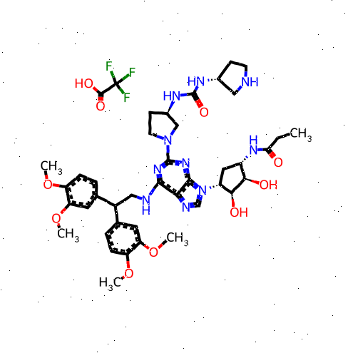 CCC(=O)N[C@H]1C[C@@H](n2cnc3c(NCC(c4ccc(OC)c(OC)c4)c4ccc(OC)c(OC)c4)nc(N4CC[C@@H](NC(=O)N[C@@H]5CCNC5)C4)nc32)[C@H](O)[C@@H]1O.O=C(O)C(F)(F)F